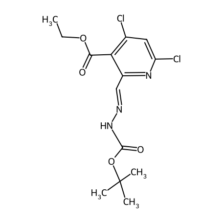 CCOC(=O)c1c(Cl)cc(Cl)nc1C=NNC(=O)OC(C)(C)C